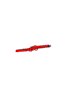 CCCCCCCCCCCCCCCCCCOc1ccc(CCOC(=O)CCCCCCCCCCCCCCCCC)cc1